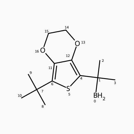 BC(C)(C)c1sc(C(C)(C)C)c2c1OCCO2